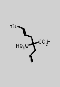 C=CCC(CC=CCCCC)(C(=O)O)C(=O)O